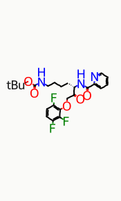 CC(C)(C)OC(=O)NCCCC[C@H](NC(=O)c1ccccn1)C(=O)COc1c(F)ccc(F)c1F